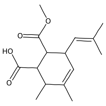 COC(=O)C1C(C=C(C)C)C=C(C)C(C)C1C(=O)O